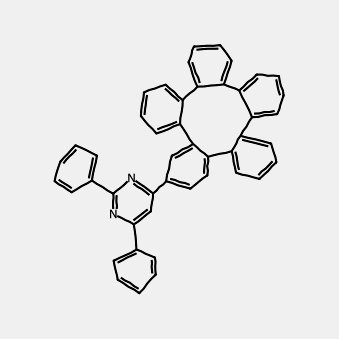 c1ccc(-c2cc(-c3ccc4c5ccccc5c5ccccc5c5ccccc5c5ccccc5c4c3)nc(-c3ccccc3)n2)cc1